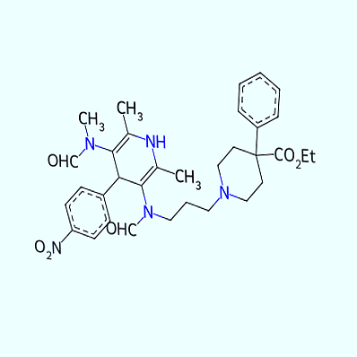 CCOC(=O)C1(c2ccccc2)CCN(CCCN(C=O)C2=C(C)NC(C)=C(N(C)C=O)C2c2ccc([N+](=O)[O-])cc2)CC1